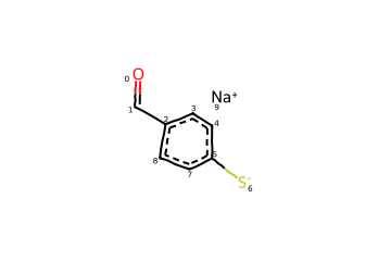 O=Cc1ccc([S-])cc1.[Na+]